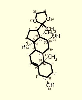 CC1(C2CC[C@]3(O)C4CC=C5C[C@@H](O)CC[C@]5(C)C4C[C@@H](O)[C@]23C)OCCO1